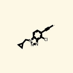 [CH2]C#Cc1ccc2c(nnn2CC2CC2)c1Cl